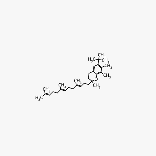 CC(C)=CCC/C(C)=C/CC/C(C)=C/CCC1(C)CCc2cc(C(C)(C)C)c(C)c(C)c2O1